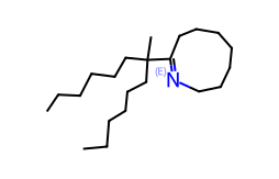 CCCCCCC(C)(CCCCCC)/C1=N/CCCCCCC1